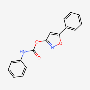 O=C(Nc1ccccc1)Oc1cc(-c2ccccc2)on1